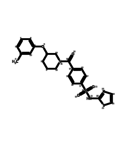 Cc1cccc(OC2CCCN(C(=O)c3ccc(S(=O)(=O)Nc4nccs4)cc3)C2)c1